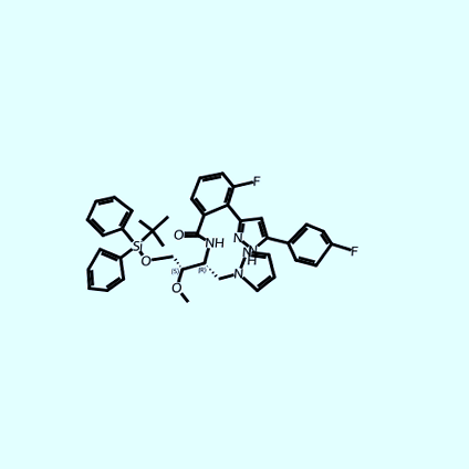 CO[C@H](CO[Si](c1ccccc1)(c1ccccc1)C(C)(C)C)[C@@H](Cn1cccn1)NC(=O)c1cccc(F)c1-c1cc(-c2ccc(F)cc2)[nH]n1